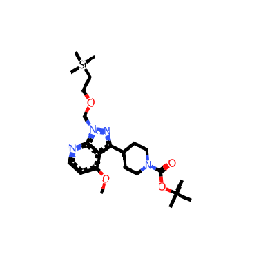 COc1ccnc2c1c(C1CCN(C(=O)OC(C)(C)C)CC1)nn2COCC[Si](C)(C)C